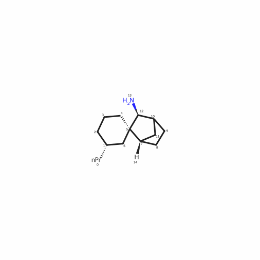 CCC[C@@H]1CCC[C@@]2(C1)[C@H]1CCC(C1)[C@@H]2N